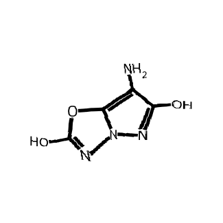 Nc1c(O)nn2nc(O)oc12